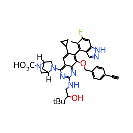 C#Cc1ccc(COc2c(-c3c(C)c(F)cc4[nH]ncc34)c(C3CC3)cc3c(N4C[C@@H]5C[C@H]4CN5C(=O)O)nc(NCC(O)C(C)(C)C)nc23)cc1